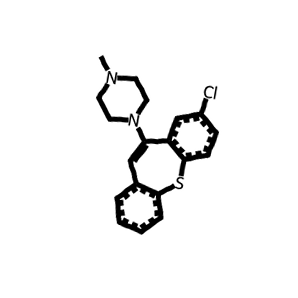 CN1CCN(C2=Cc3ccccc3Sc3ccc(Cl)cc32)CC1